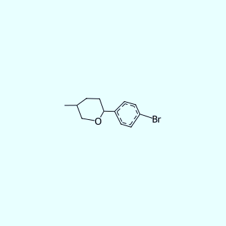 CC1CCC(c2ccc(Br)cc2)OC1